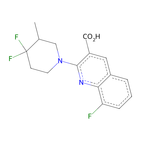 CC1CN(c2nc3c(F)cccc3cc2C(=O)O)CCC1(F)F